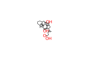 C[C@@H](CCC(=O)O)C1CC[C@H]2C3[C@H](O)CC4CCCC[C@]4(C)[C@H]3C[C@H](O)[C@]12C